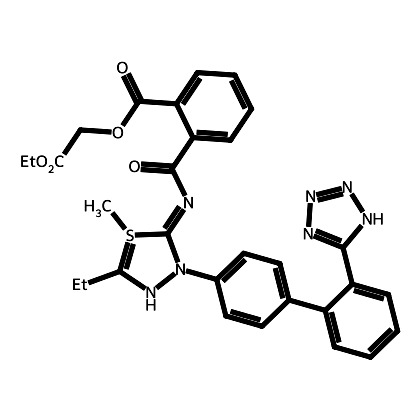 CCOC(=O)COC(=O)c1ccccc1C(=O)N=C1N(c2ccc(-c3ccccc3-c3nnn[nH]3)cc2)NC(CC)=S1C